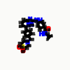 O=C(NC1CC1)c1ccc(Nc2nc3cccc(-c4ccc(CN5CCS(=O)(=O)CC5)cc4)n3n2)cc1